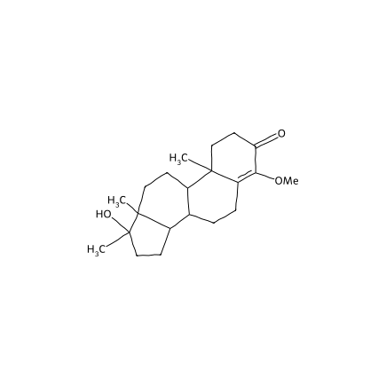 COC1=C2CCC3C(CCC4(C)C3CCC4(C)O)C2(C)CCC1=O